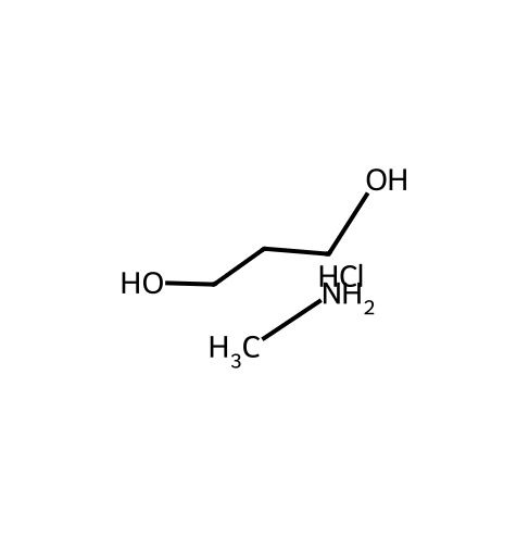 CN.Cl.OCCCO